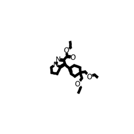 CCOCC1(COCC)CC=C(c2c(C(=O)OCC)nn3c2CCC3)CC1